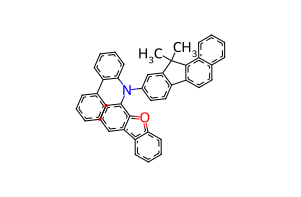 CC1(C)c2cc(N(c3ccccc3-c3ccccc3)c3cccc4c3oc3ccccc34)ccc2-c2ccc3ccccc3c21